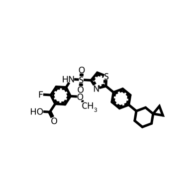 COc1cc(C(=O)O)c(F)cc1NS(=O)(=O)c1csc(-c2ccc(C3CCCC4(CC4)C3)cc2)n1